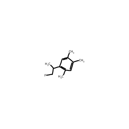 C[C](CF)c1cc(C)c(C)cc1C